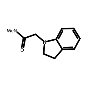 CNC(=O)CN1CCc2ccccc21